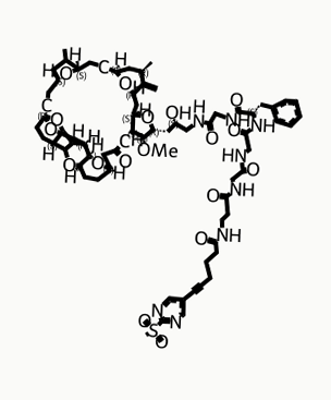 C=C1[C@H](C)C[C@@H]2CC[C@@H]3O[C@@H](CC[C@@]45CC[C@H]6C7O[C@H]8CC[C@H](CC(=O)C[C@@H]9[C@@H](OC)[C@@H](C[C@H](O)CNC(=O)CNC(=O)[C@H](Cc%10ccccc%10)NC(=O)CNC(=O)CNC(=O)CCNC(=O)CCCC#Cc%10cnc(S(C)(=O)=O)nc%10)O[C@H]9C[C@H]1O2)O[C@@H]8[C@H](O4)[C@@H]7C6O5)CC3C